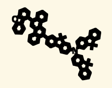 CC1(C)c2ccccc2-c2ccc(N(c3ccc4c(c3)C(C)(C)c3ccccc3-4)c3ccc4c(c3)C(C)(C)c3cc(-c5cc6c7ccccc7c(-c7cccc8oc9ccccc9c78)cc6c6ccccc56)ccc3-4)cc21